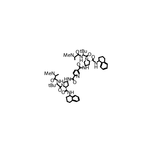 CN[C@@H](C)C(=O)N[C@H](C(=O)N1C[C@@H](NC(=O)c2ccc(C(=O)N[C@H]3C[C@@H](C(=O)NC4CCCc5ccccc54)N(C(=O)[C@@H](NC(=O)[C@H](C)NC)C(C)(C)C)C3)nc2)C[C@H]1C(=O)NC1CCCc2ccccc21)C(C)(C)C